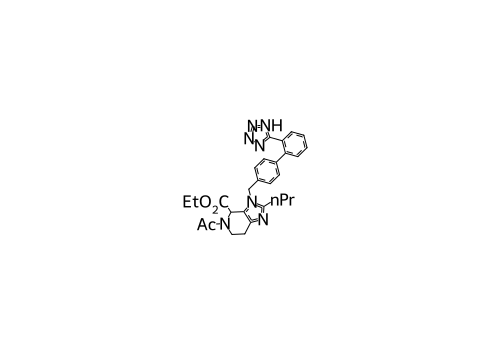 CCCc1nc2c(n1Cc1ccc(-c3ccccc3-c3nnn[nH]3)cc1)C(C(=O)OCC)N(C(C)=O)CC2